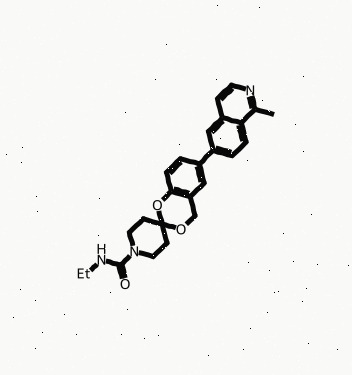 CCNC(=O)N1CCC2(CC1)OCc1cc(-c3ccc4c(C)nccc4c3)ccc1O2